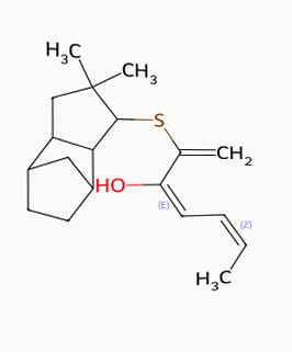 C=C(SC1C2C3CCC(C3)C2CC1(C)C)/C(O)=C\C=C/C